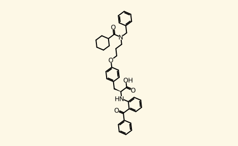 O=C(c1ccccc1)c1ccccc1N[C@@H](Cc1ccc(OCCCN(Cc2ccccc2)C(=O)C2CCCCC2)cc1)C(=O)O